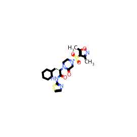 Cc1noc(C)c1S(=O)(=O)N1CCN([C@@H](CC2CCCCC2)C(=O)Nc2nccs2)C(=O)C1